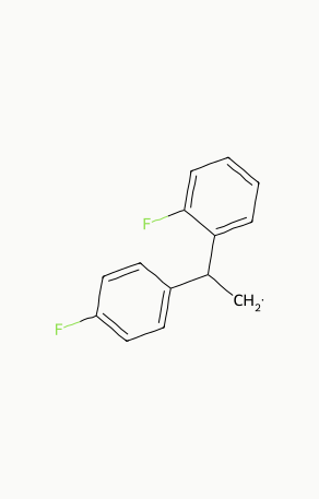 [CH2]C(c1ccc(F)cc1)c1ccccc1F